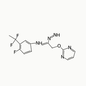 CC(F)(F)c1cc(N/C=C(/COc2ncccn2)N=N)ccc1F